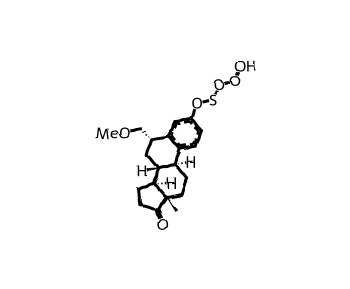 COC[C@H]1C[C@@H]2[C@H](CC[C@]3(C)C(=O)CC[C@@H]23)c2ccc(OSOOO)cc21